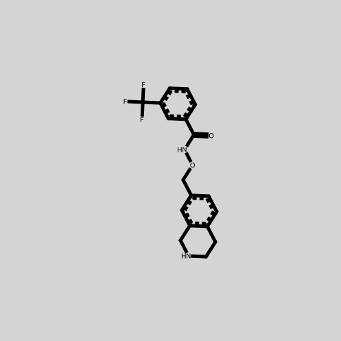 O=C(NOCc1ccc2c(c1)CNCC2)c1cccc(C(F)(F)F)c1